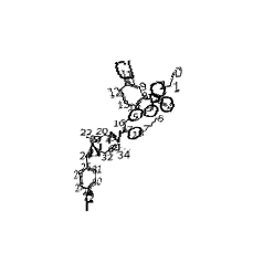 CCOP(=O)(OCC)c1cc(Cl)ccc1OCC(=O)N1C[C@H](C)N(Cc2ccc(F)cc2)C[C@H]1C